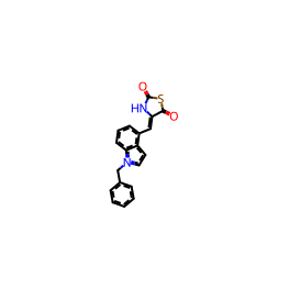 O=C1NC(=Cc2cccc3c2ccn3Cc2ccccc2)C(=O)S1